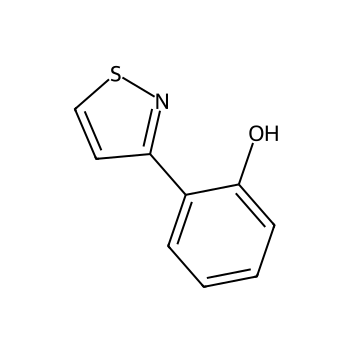 Oc1ccccc1-c1ccsn1